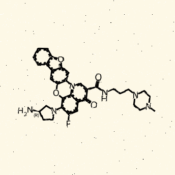 CN1CCN(CCCNC(=O)c2cn3c4c(c(N5CC[C@@H](N)C5)c(F)cc4c2=O)Oc2cc4c(cc2-3)oc2ccccc24)CC1